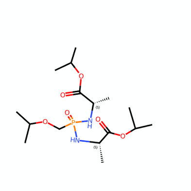 CC(C)OCP(=O)(N[C@@H](C)C(=O)OC(C)C)N[C@@H](C)C(=O)OC(C)C